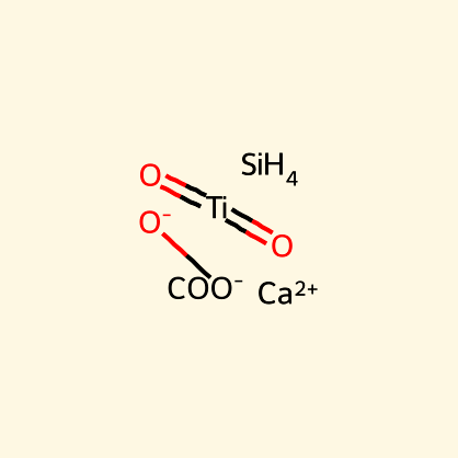 O=C([O-])[O-].[Ca+2].[O]=[Ti]=[O].[SiH4]